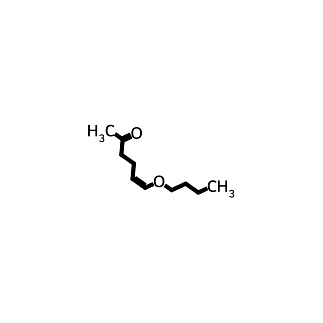 CCCCO/C=C\CCC(C)=O